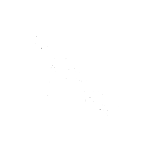 CC1(C)OB(c2ccc(C3CCN(c4ccc(-c5ccc(OCc6ccccc6)nc5OCc5ccccc5)cc4F)CC3)c(F)c2F)OC1(C)C